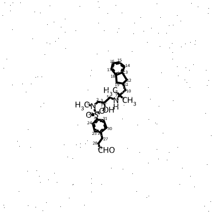 CN(C[C@H](O)CNC(C)(C)CC1Cc2ccccc2C1)S(=O)(=O)c1ccc(CCC=O)cc1